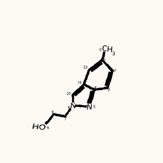 Cc1ccc2nn(CCO)cc2c1